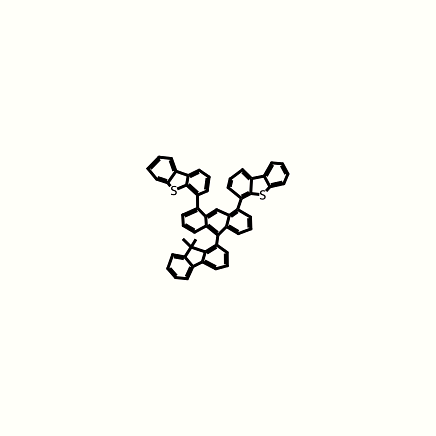 CC1(C)c2ccccc2-c2cccc(-c3c4cccc(-c5cccc6c5sc5ccccc56)c4cc4c(-c5cccc6c5sc5ccccc56)cccc34)c21